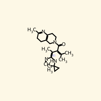 C=N/C(NC1(C)CC1)=C(\C)C(C(=O)N1CCC2=C(CCC(C)=N2)C1)=C(C)C